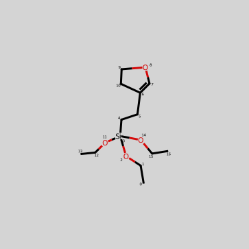 CCO[Si](CCC1=COCC1)(OCC)OCC